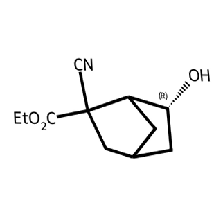 CCOC(=O)C1(C#N)CC2CC1[C@H](O)C2